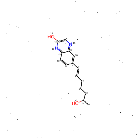 CC(O)CCC/C=C/c1ccc2nc(O)cnc2c1